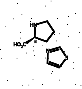 O=C(O)[C@@H]1CCCN1.c1cscn1